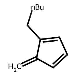 C=C1C=CC=C1CCCCC